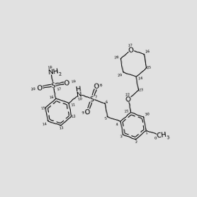 Cc1ccc(CCS(=O)(=O)Nc2ccccc2S(N)(=O)=O)c(OCC2CCOCC2)c1